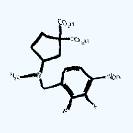 CCCCCCCCCc1ccc(CN(C)C2CCC(C(=O)O)(C(=O)O)C2)c(F)c1F